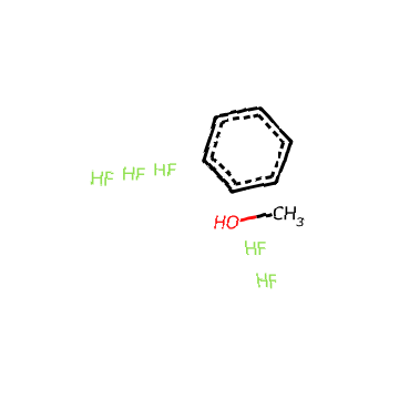 CO.F.F.F.F.F.c1ccccc1